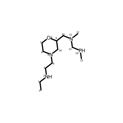 CCNCCN1CCOC(CN(C)CPC)C1